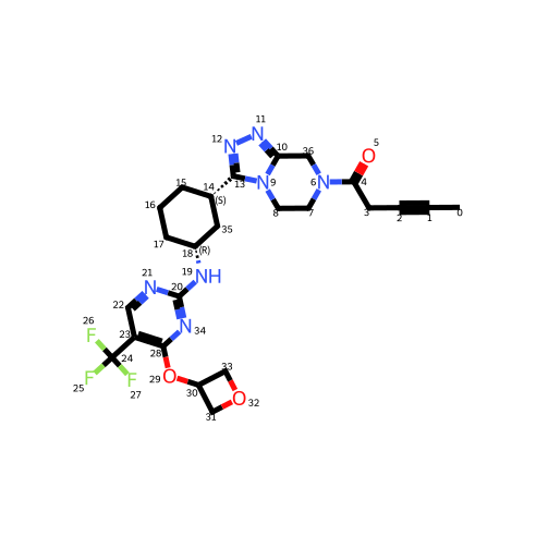 CC#CCC(=O)N1CCn2c(nnc2[C@H]2CCC[C@@H](Nc3ncc(C(F)(F)F)c(OC4COC4)n3)C2)C1